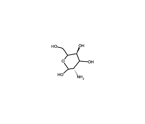 N[C@@H]1C(O)OC(CO)[C@@H](O)C1O